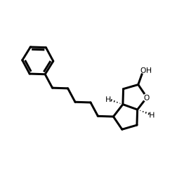 OC1C[C@@H]2C(CCCCCc3ccccc3)CC[C@@H]2O1